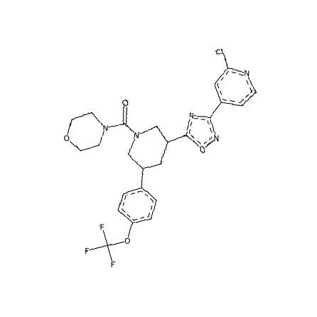 O=C(N1CCOCC1)N1CC(c2ccc(OC(F)(F)F)cc2)CC(c2nc(-c3ccnc(Cl)c3)no2)C1